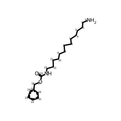 NCCCCCCCCCCCCCNC(=O)OCc1ccccc1